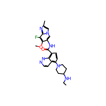 CCNC1CCN(c2ccc(C(=O)Nc3cn4cc(C)nc4c(F)c3OC)c3nnccc23)CC1